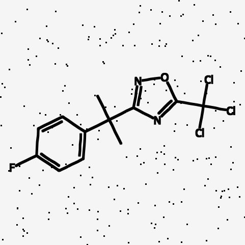 CC(C)(c1ccc(F)cc1)c1noc(C(Cl)(Cl)Cl)n1